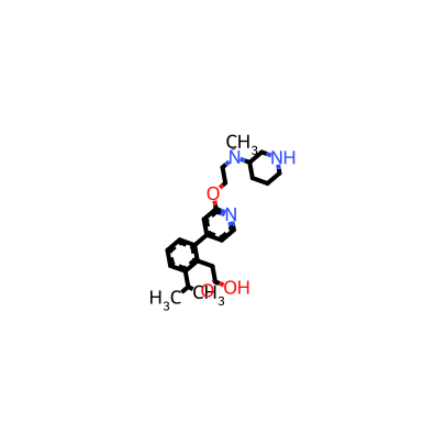 CC(C)c1cccc(-c2ccnc(OCCN(C)C3CCCNC3)c2)c1CC(=O)O